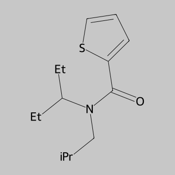 CCC(CC)N(CC(C)C)C(=O)c1cccs1